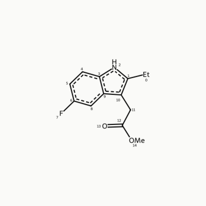 CCc1[nH]c2ccc(F)cc2c1CC(=O)OC